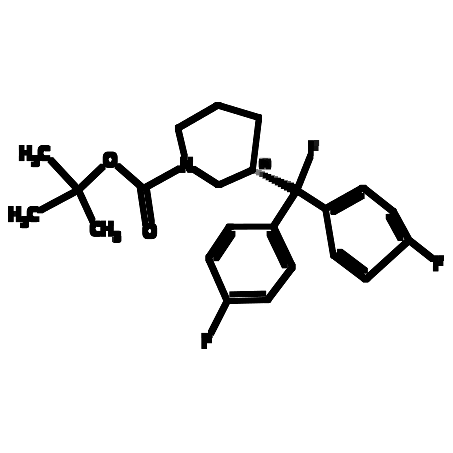 CC(C)(C)OC(=O)N1CCC[C@H](C(F)(c2ccc(F)cc2)c2ccc(F)cc2)C1